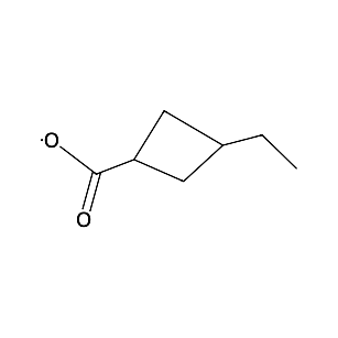 CCC1CC(C([O])=O)C1